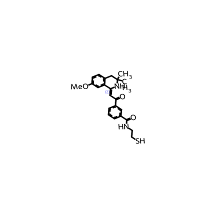 COc1ccc2c(c1)/C(=C/C(=O)c1cccc(C(=O)NCCS)c1)NC(C)(C)C2